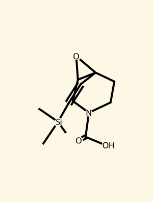 C[Si](C)(C)C#CC12CCN(C(=O)O)CC1O2